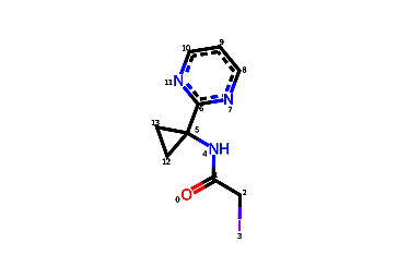 O=C(CI)NC1(c2ncccn2)CC1